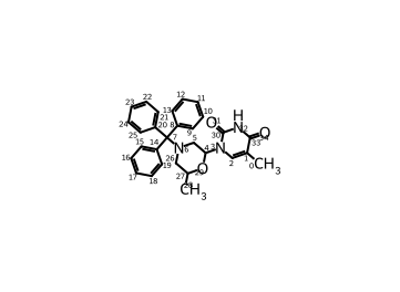 Cc1cn(C2CN(C(c3ccccc3)(c3ccccc3)c3ccccc3)CC(C)O2)c(=O)[nH]c1=O